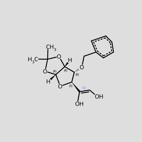 CC1(C)O[C@H]2O[C@H](/C(O)=C/O)[C@@H](OCc3ccccc3)[C@H]2O1